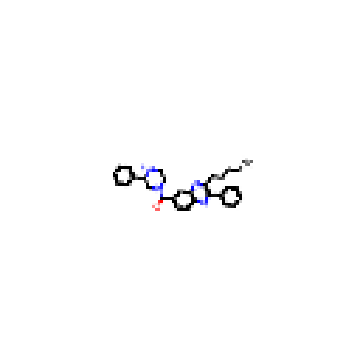 CC(=O)CCCCc1nc2cc(C(=O)N3CCNC(c4ccccc4)C3)ccc2nc1-c1ccccc1